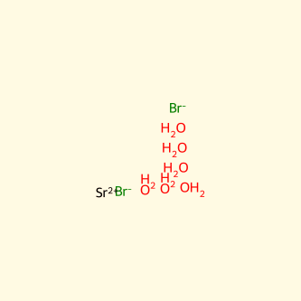 O.O.O.O.O.O.[Br-].[Br-].[Sr+2]